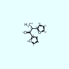 CC(C(=O)c1ccco1)c1ccco1